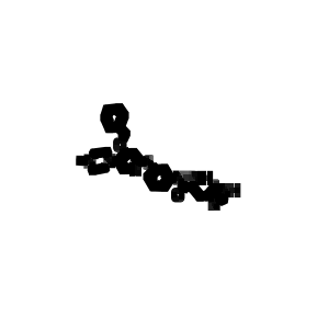 CN1CCN(c2cnc(Sc3cccc(NC(=O)C(N)Cc4c[nH]cn4)c3)cc2OCc2ccccc2)CC1